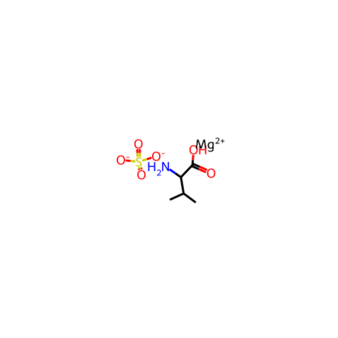 CC(C)C(N)C(=O)O.O=S(=O)([O-])[O-].[Mg+2]